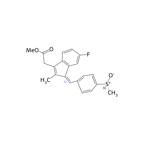 COC(=O)CC1=C(C)/C(=C/c2ccc([S@@+](C)[O-])cc2)c2cc(F)ccc21